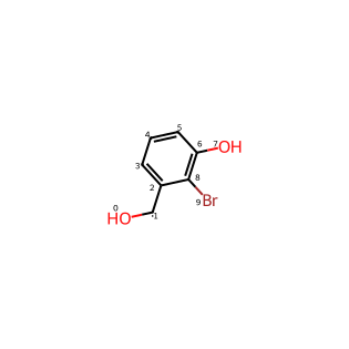 O[CH]c1cccc(O)c1Br